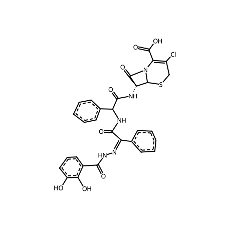 O=C(O)C1=C(Cl)CSC2[C@H](NC(=O)C(NC(=O)/C(=N\NC(=O)c3cccc(O)c3O)c3ccccc3)c3ccccc3)C(=O)N12